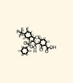 Cc1cc2cc(C(O)c3c(Cl)ccc(C(=O)O)c3Cl)n(S(=O)(=O)c3ccccc3)c2cc1C(F)(F)F